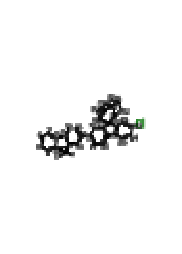 C[Si]1(C)c2ccccc2-c2ccc(-c3ccc4c(c3)C3(c5cc(Cl)ccc5-4)C4CC5CC(C4)CC3C5)cc21